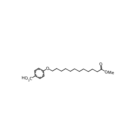 COC(=O)CCCCCCCCCCCOc1ccc(C(=O)O)cc1